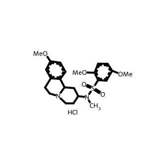 COc1ccc2c(c1)CCN1CCC(N(C)S(=O)(=O)c3cc(OC)ccc3OC)CC21.Cl